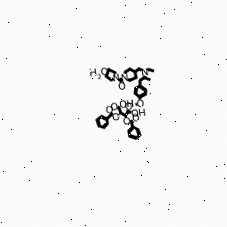 CCN(CC1CCN(C(=O)N2CCCC2)CC1)C(C)Cc1ccc(OC)cc1.O.O=C(O[C@@H](C(=O)O)[C@@H](OC(=O)c1ccccc1)C(=O)O)c1ccccc1